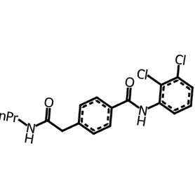 CCCNC(=O)Cc1ccc(C(=O)Nc2cccc(Cl)c2Cl)cc1